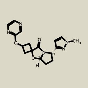 Cn1ccc([C@@H]2CC[C@H]3OC4(CC(Oc5cnccn5)C4)C(=O)N32)n1